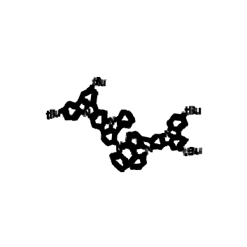 CC(C)(C)c1ccc2c(c1)c1cc(C(C)(C)C)cc3c4cc5c(cc4n2c13)c1ccc(N(c2ccccc2)c2ccc3c4cc6c(cc4n4c7ccccc7c2c34)c2cc(C(C)(C)C)cc3c4cc(C(C)(C)C)ccc4n6c32)c2c3ccccc3n5c12